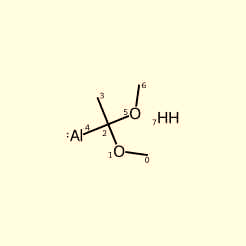 CO[C](C)([Al])OC.[HH]